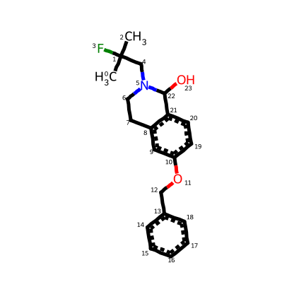 CC(C)(F)CN1CCc2cc(OCc3ccccc3)ccc2C1O